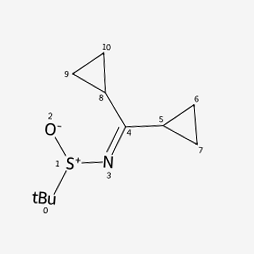 CC(C)(C)[S+]([O-])N=C(C1CC1)C1CC1